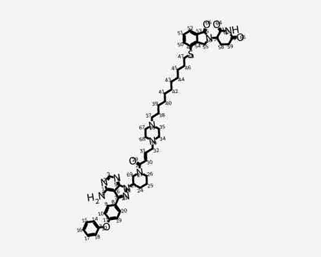 Nc1ncnc2c1c(-c1ccc(Oc3ccccc3)cc1)nn2C1CCCN(C(=O)/C=C/CN2CCN(CCCCCCCCCCCSc3cccc4c3CN(C3CCC(=O)NC3=O)C4=O)CC2)C1